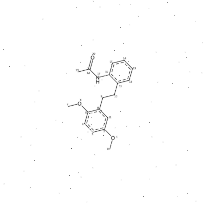 COc1ccc(OC)c(CCc2ccccc2NC(C)=O)c1